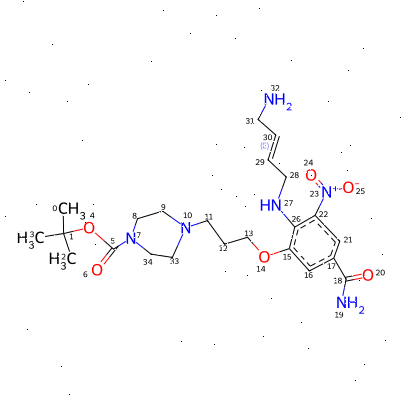 CC(C)(C)OC(=O)N1CCN(CCCOc2cc(C(N)=O)cc([N+](=O)[O-])c2NC/C=C/CN)CC1